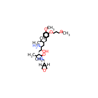 COCCCOc1cc(C[C@@H](C[C@H](N)[C@@H](O)C[C@H](C(=O)NC[C@@H]2[C@H]3COC[C@@H]23)C(C)C)C(C)C)ccc1OC